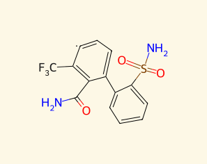 NC(=O)c1c(C(F)(F)F)[c]ccc1-c1ccccc1S(N)(=O)=O